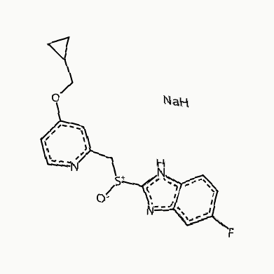 [NaH].[O-][S+](Cc1cc(OCC2CC2)ccn1)c1nc2cc(F)ccc2[nH]1